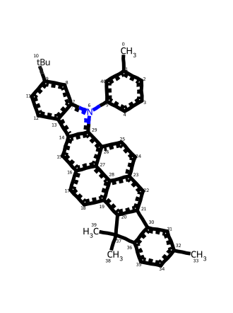 Cc1cccc(-n2c3cc(C(C)(C)C)ccc3c3cc4ccc5c6c(cc7ccc(c4c75)c32)-c2cc(C)ccc2C6(C)C)c1